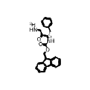 [2H]NCC(=O)[C@H](Cc1ccccc1)NC(=O)OCC1c2ccccc2-c2ccccc21